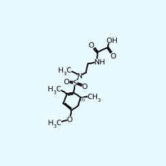 COC1=CC(C)=C(S(=O)(=O)N(C)CCNC(=O)C(=O)O)[C@@H](C)C1